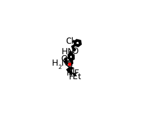 CCC(F)(F)n1cc(OCc2ccc(NC(=O)Cc3ccccc3Cl)cc2S(N)(=O)=O)cn1